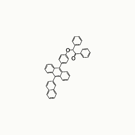 O=C(c1ccccc1)C(Oc1ccc(-c2c3ccccc3c(-c3ccc4ccccc4c3)c3ccccc23)cc1)c1ccccc1